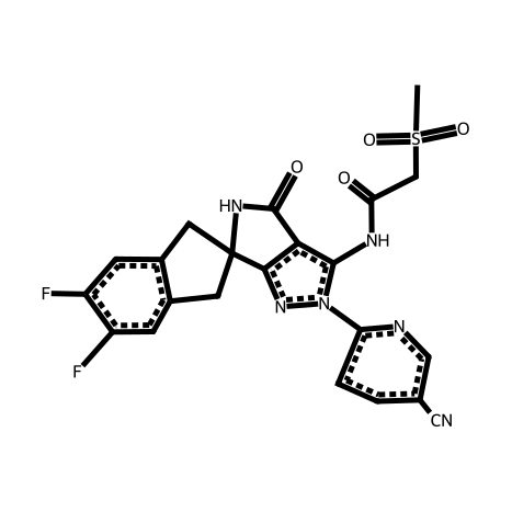 CS(=O)(=O)CC(=O)Nc1c2c(nn1-c1ccc(C#N)cn1)C1(Cc3cc(F)c(F)cc3C1)NC2=O